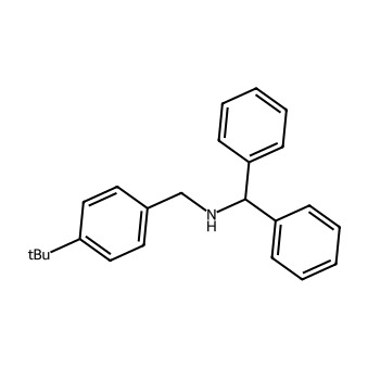 CC(C)(C)c1ccc(CNC(c2ccccc2)c2ccccc2)cc1